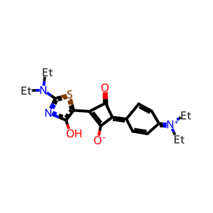 CCN(CC)c1nc(O)c(C2=C([O-])C(=C3C=CC(=[N+](CC)CC)C=C3)C2=O)s1